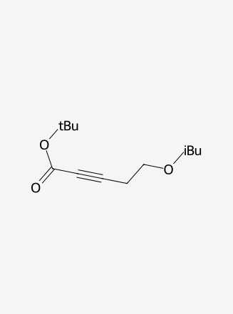 [CH2]CC(C)OCCC#CC(=O)OC(C)(C)C